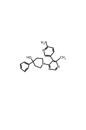 Cc1ncnc(N2CCC(O)(c3ccccc3)CC2)c1-c1ccc(N)nc1